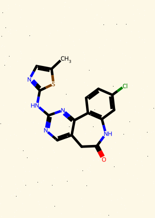 Cc1cnc(Nc2ncc3c(n2)-c2ccc(Cl)cc2NC(=O)C3)s1